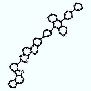 c1ccc(-c2ccc(-c3c4ccccc4c(-c4ccc(-c5ccc6c(ccc7c8ccc(-c9cccc%10c9oc9ccc%11ccccc%11c9%10)cc8ccc67)c5)cc4)c4ccccc34)cc2)cc1